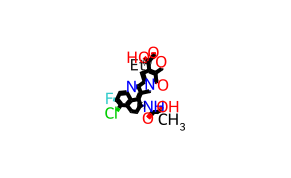 CC[C@@]1(O)C(=O)OCc2c1cc1n(c2=O)Cc2c-1nc1cc(F)c(Cl)c3c1c2[C@@H](NC(=O)C(C)O)CC3